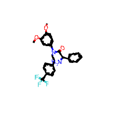 COc1ccc(N(CCc2ccc(C(F)(F)F)cc2)C(=O)C(N)c2ccccc2)cc1OC